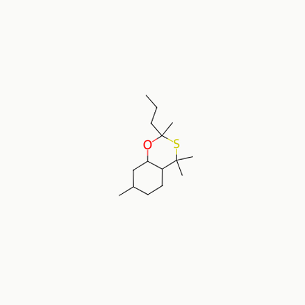 CCCC1(C)OC2CC(C)CCC2C(C)(C)S1